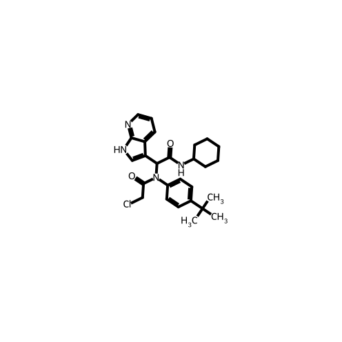 CC(C)(C)c1ccc(N(C(=O)CCl)C(C(=O)NC2CCCCC2)c2c[nH]c3ncccc23)cc1